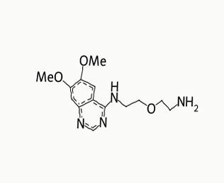 COc1cc2ncnc(NCCOCCN)c2cc1OC